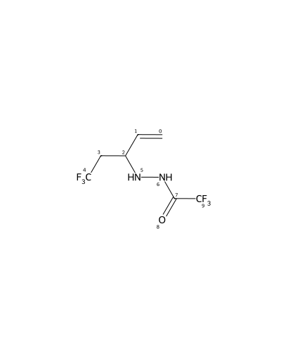 C=CC(CC(F)(F)F)NNC(=O)C(F)(F)F